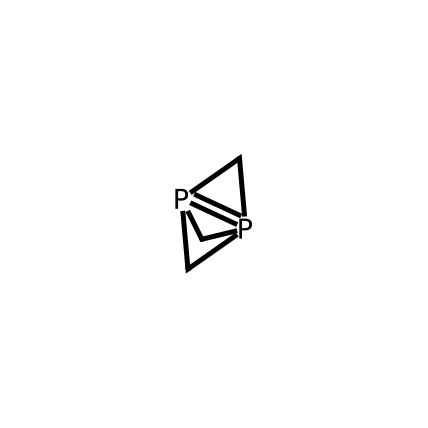 C1P23=P1(C2)C3